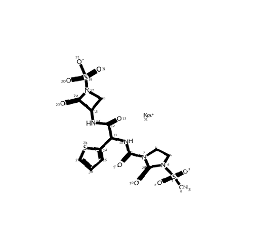 CS(=O)(=O)N1CCN(C(=O)NC(C(=O)NC2CN(S(=O)(=O)[O-])C2=O)c2cccs2)C1=O.[Na+]